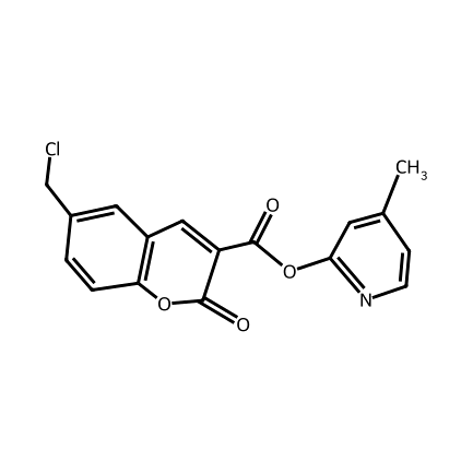 Cc1ccnc(OC(=O)c2cc3cc(CCl)ccc3oc2=O)c1